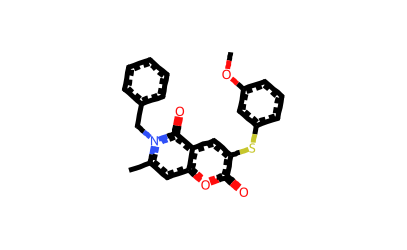 COc1cccc(Sc2cc3c(=O)n(Cc4ccccc4)c(C)cc3oc2=O)c1